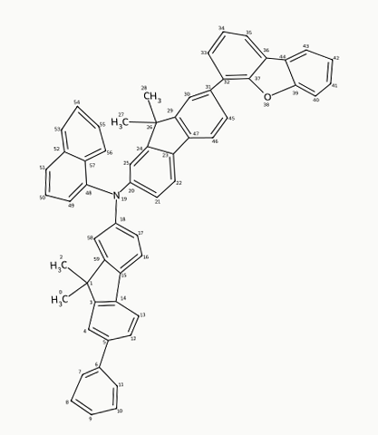 CC1(C)c2cc(-c3ccccc3)ccc2-c2ccc(N(c3ccc4c(c3)C(C)(C)c3cc(-c5cccc6c5oc5ccccc56)ccc3-4)c3cccc4ccccc34)cc21